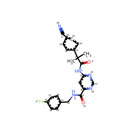 CC(C)(C(=O)Nc1cc(C(=O)NCc2ccc(F)cc2)ncn1)c1ccc(C#N)cc1